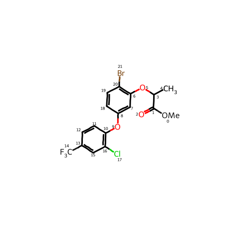 COC(=O)C(C)Oc1cc(Oc2ccc(C(F)(F)F)cc2Cl)ccc1Br